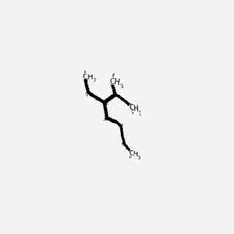 CCC[CH]C(CC)C(C)C